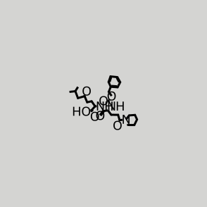 CC(C)CC(=O)CCC(NC(=O)C(CCC(=O)N1CCCCC1)NC(=O)OCc1ccccc1)C(=O)O